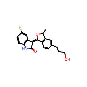 CC1OC(=C2C(=O)Nc3ccc(F)cc32)c2ccc(CCCO)cc21